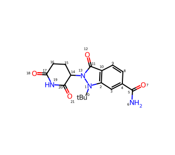 CC(C)(C)n1c2cc(C(N)=O)ccc2c(=O)n1C1CCC(=O)NC1=O